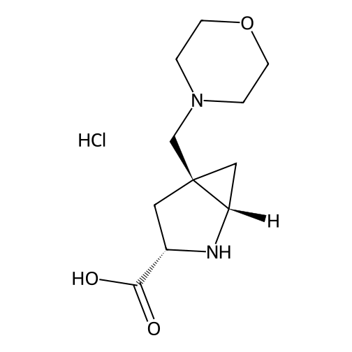 Cl.O=C(O)[C@@H]1C[C@]2(CN3CCOCC3)C[C@@H]2N1